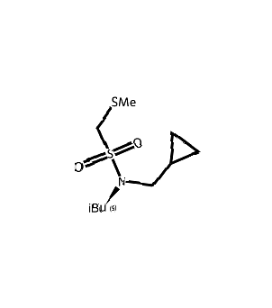 CC[C@H](C)N(CC1CC1)S(=O)(=O)CSC